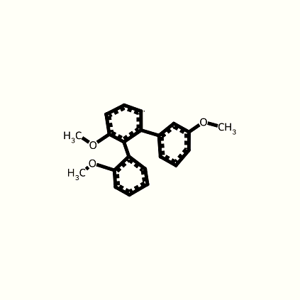 COc1cccc(-c2[c]ccc(OC)c2-c2ccccc2OC)c1